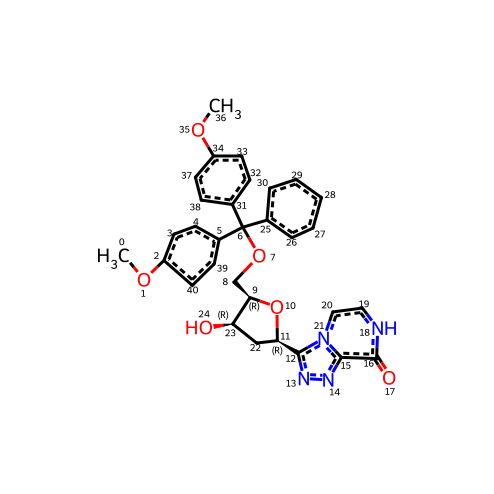 COc1ccc(C(OC[C@H]2O[C@@H](c3nnc4c(=O)[nH]ccn34)C[C@H]2O)(c2ccccc2)c2ccc(OC)cc2)cc1